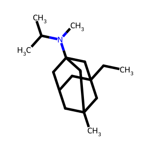 CCC12CC3CC(C)(C1)CC(N(C)C(C)C)(C3)C2